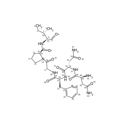 CC[C@H](C)[C@@H]([C]=O)NC(=O)[C@@H]1CCCN1C(=O)CNC(=O)[C@H](Cc1ccccc1)NC(=O)[C@H](CC(N)=O)NC(=O)[C@@H](N)CC(N)=O